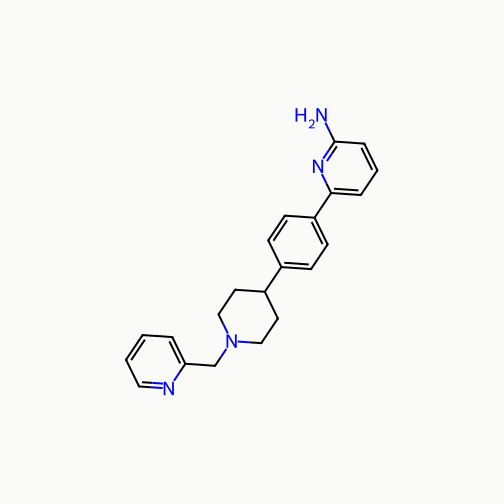 Nc1cccc(-c2ccc(C3CCN(Cc4ccccn4)CC3)cc2)n1